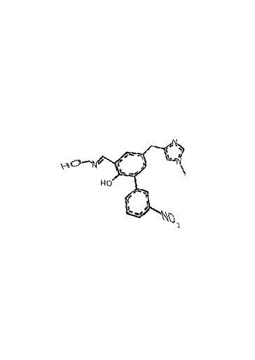 Cn1cnc(Cc2cc(/C=N/O)c(O)c(-c3cccc([N+](=O)[O-])c3)c2)c1